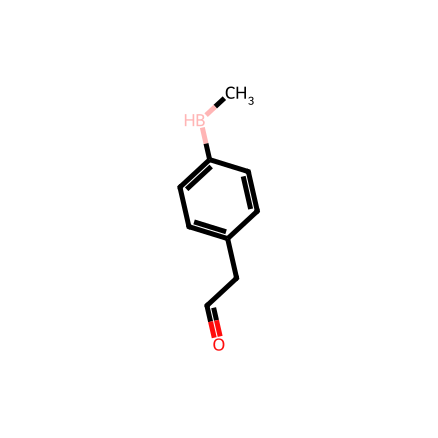 CBc1ccc(CC=O)cc1